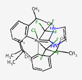 CC(C)c1cccc(C(C)C)[c]1[Au]([Cl])([c]1c(C(C)C)cccc1C(C)C)(=[c]1[nH]cc[nH]1)([C](F)(F)F)[C](F)(F)F